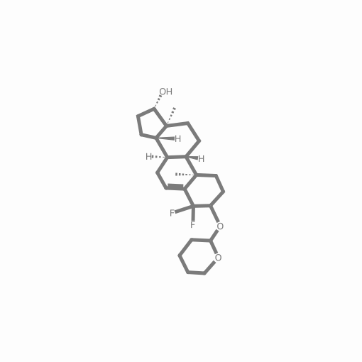 C[C@]12CC[C@H]3[C@@H](CC=C4C(F)(F)C(OC5CCCCO5)CC[C@@]43C)[C@@H]1CC[C@@H]2O